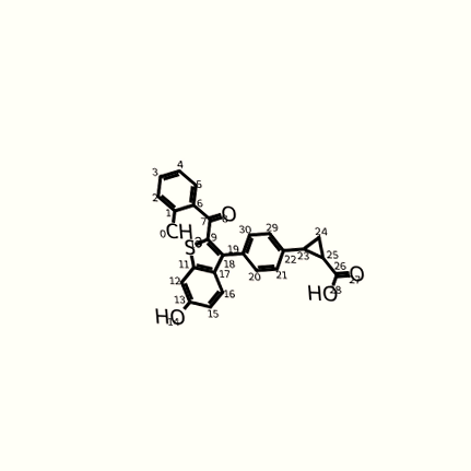 Cc1ccccc1C(=O)c1sc2cc(O)ccc2c1-c1ccc(C2CC2C(=O)O)cc1